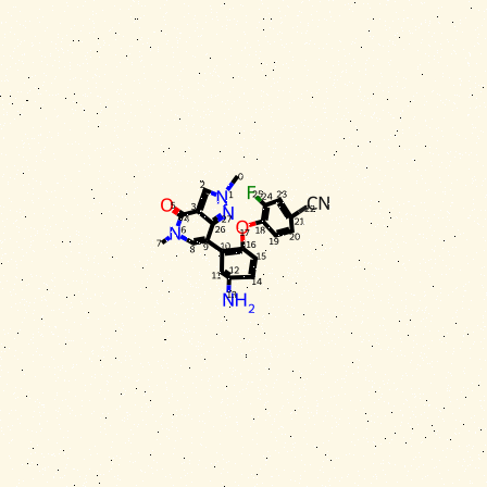 Cn1cc2c(=O)n(C)cc(-c3cc(N)ccc3Oc3ccc(C#N)cc3F)c2n1